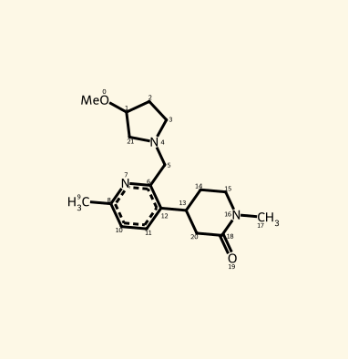 COC1CCN(Cc2nc(C)ccc2C2CCN(C)C(=O)C2)C1